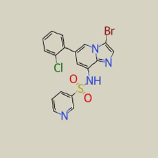 O=S(=O)(Nc1cc(-c2ccccc2Cl)cn2c(Br)cnc12)c1cccnc1